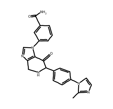 Cc1nccn1-c1ccc(C2NCc3ncn(-c4cccc(C(N)=O)c4)c3C2=O)cc1